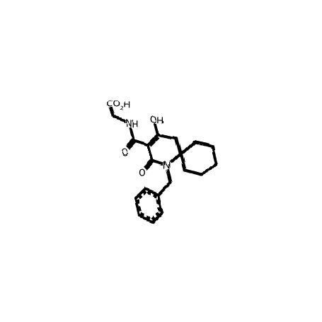 O=C(O)CNC(=O)C1=C(O)CC2(CCCCC2)N(Cc2ccccc2)C1=O